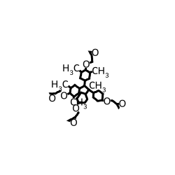 CC1CC(C(C2CC(C)C(OCC3CO3)C(C)C2)C(C)(C2CCC(OCC3CO3)CC2)C2CCC(OCC3CO3)CC2)CC(C)C1OCC1CO1